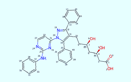 O=C(O)C[C@H](O)C[C@H](O)CCc1c(-c2ccccc2)nn(-c2ccnc(Nc3ccccc3)n2)c1-c1ccccc1